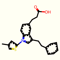 Cc1csc(-n2cc(CCc3ccccc3)c3cc(CCC(=O)O)ccc32)c1